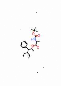 CCC(CC)[C@@H](c1ccccc1)C(C)OC(=O)[C@H](C)NC(=O)OC(C)(C)C